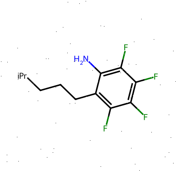 CC(C)CCCc1c(N)c(F)c(F)c(F)c1F